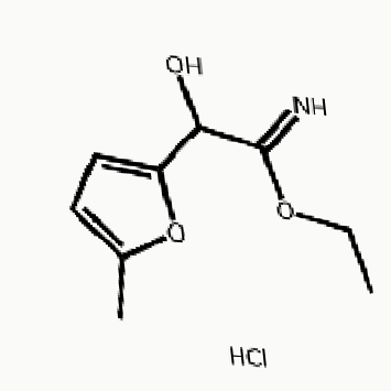 CCOC(=N)C(O)c1ccc(C)o1.Cl